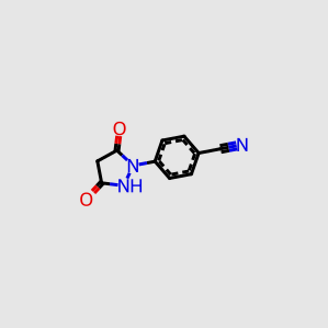 N#Cc1ccc(N2NC(=O)CC2=O)cc1